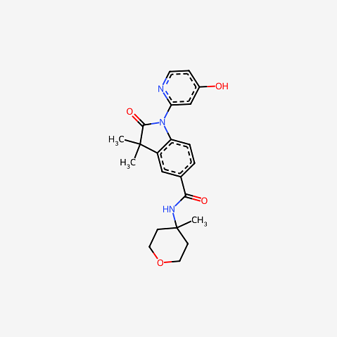 CC1(NC(=O)c2ccc3c(c2)C(C)(C)C(=O)N3c2cc(O)ccn2)CCOCC1